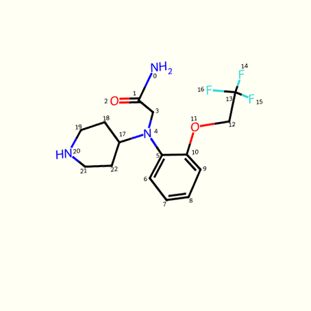 NC(=O)CN(c1ccccc1OCC(F)(F)F)C1CCNCC1